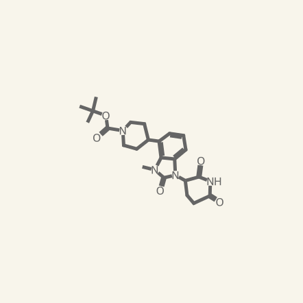 Cn1c(=O)n(C2CCC(=O)NC2=O)c2cccc(C3CCN(C(=O)OC(C)(C)C)CC3)c21